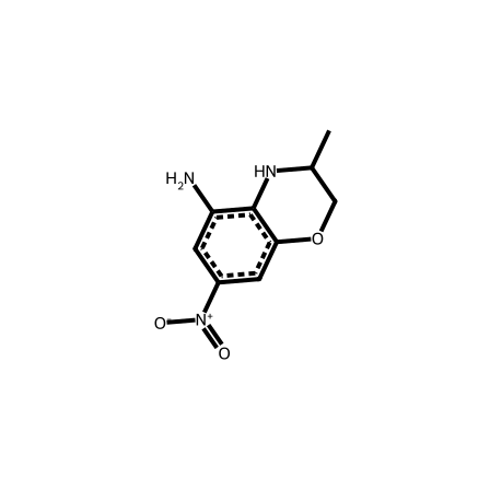 CC1COc2cc([N+](=O)[O-])cc(N)c2N1